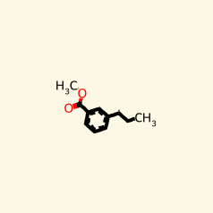 CC[CH]c1cccc(C(=O)OC)c1